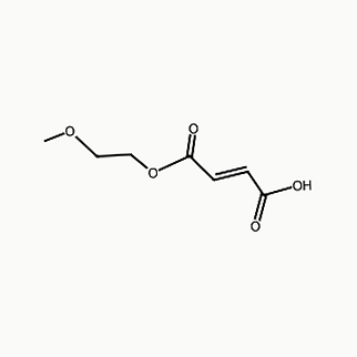 COCCOC(=O)C=CC(=O)O